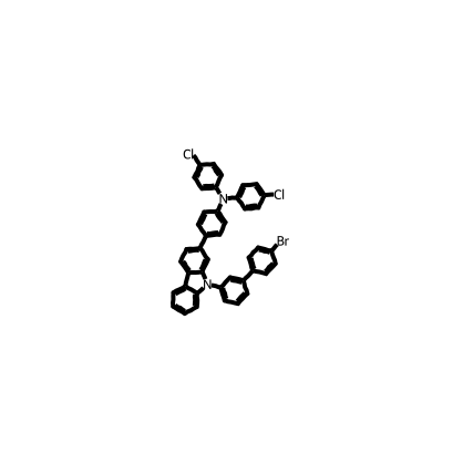 Clc1ccc(N(c2ccc(Cl)cc2)c2ccc(-c3ccc4c5ccccc5n(-c5cccc(-c6ccc(Br)cc6)c5)c4c3)cc2)cc1